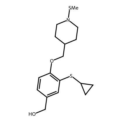 CSN1CCC(COc2ccc(CO)cc2SC2CC2)CC1